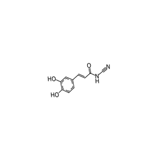 N#CNC(=O)C=Cc1ccc(O)c(O)c1